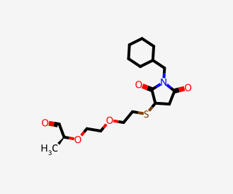 C[C@@H](C=O)OCCOCCSC1CC(=O)N(CC2CCCCC2)C1=O